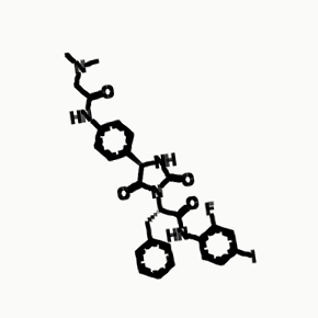 CN(C)CC(=O)Nc1ccc([C@H]2NC(=O)N([C@@H](Cc3ccccc3)C(=O)Nc3ccc(I)cc3F)C2=O)cc1